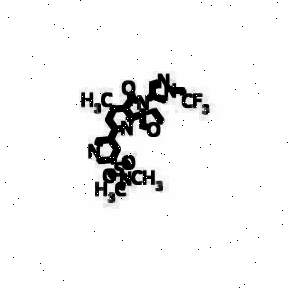 CC1CC(C2C=NCC(S(=O)(=O)N(C)C)C2)N=C2C1C(=O)N(C1C=NN(CC(F)(F)F)C1)[C@@]21CCOC1